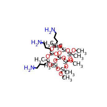 CO[Si]12O[Si]34O[Si](C)(O[Si@](C)(CCCN)O[Si](CCCN)(O3)O[Si@](C)(CCCN)O[Si@@](C)(O4)O[Si@](C)(OC)O1)O[Si@@](C)(OC)O2